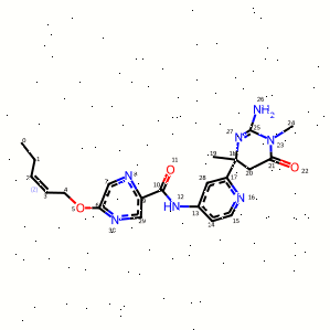 CC/C=C\COc1cnc(C(=O)Nc2ccnc(C3(C)CC(=O)N(C)C(N)=N3)c2)cn1